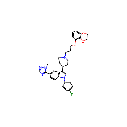 Cn1ncnc1-c1ccc2c(c1)c(C1CCN(CCCOc3cccc4c3OCCO4)CC1)cn2-c1ccc(F)cc1